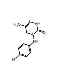 CC1=NNC(=O)N(Nc2ccc(Br)cc2)C1